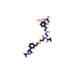 CC(C)[C@@H](C)N(CCNCCc1ccc(O)c2c1OCC(=O)N2)C(=O)CCOCCc1cccc(-c2cnn(C(C)C)c2)c1